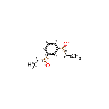 CC[S+]([O-])c1[c]ccc([S+]([O-])CC)c1